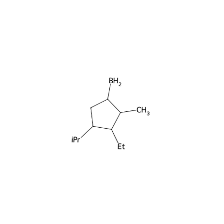 BC1CC(C(C)C)C(CC)C1C